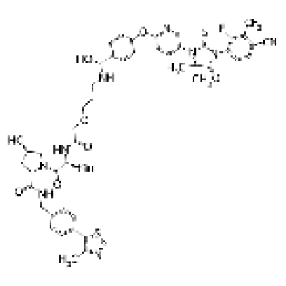 Cc1ncsc1-c1ccc(CNC(=O)[C@@H]2C[C@@H](O)CN2C(=O)[C@@H](NC(=O)COCCCNC(O)c2ccc(Oc3ccc(N4C(=S)N(c5ccc(C#N)c(C(F)(F)F)c5F)C(=O)C4(C)C)cn3)cc2)C(C)(C)C)cc1